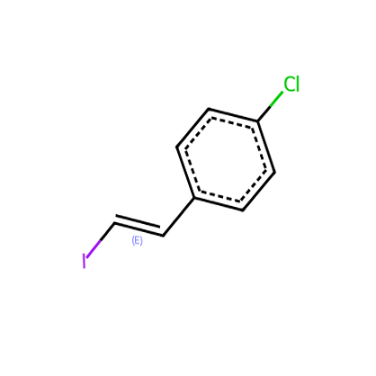 Clc1ccc(/C=C/I)cc1